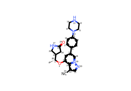 C[C@@H](Oc1cc(-c2ccc(N3CCNCC3)cc2)cn2ncc(C#N)c12)C1CNC(=O)C1